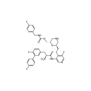 N[C@@H](Cc1ccc(F)c(-c2ccc(F)cc2)c1)C(=O)Nc1cncc(F)c1CC[C@@H]1CNC[C@@H](COC(=O)NCc2ccc(F)cc2)O1